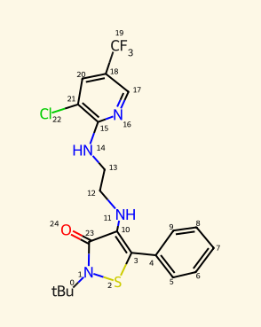 CC(C)(C)n1sc(-c2ccccc2)c(NCCNc2ncc(C(F)(F)F)cc2Cl)c1=O